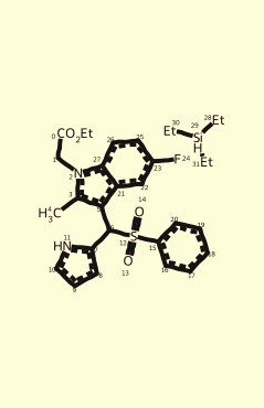 CCOC(=O)Cn1c(C)c(C(c2ccc[nH]2)S(=O)(=O)c2ccccc2)c2cc(F)ccc21.CC[SiH](CC)CC